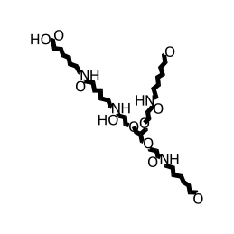 O=CCCCCCCCNC(=O)CCOCC(COCCC(=O)NCCCCCCCC=O)COCCC(O)NCCCCCCC(=O)NCCCCCCCC(=O)O